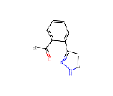 CCC(=O)c1ccccc1-c1cc[nH]n1